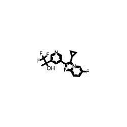 CC(O)(c1cncc(-c2nc3ccc(F)cn3c2C2CC2)c1)C(F)(F)F